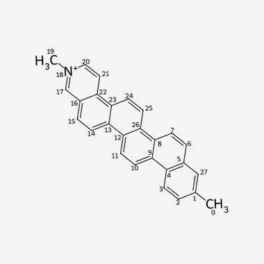 Cc1ccc2c(ccc3c2ccc2c4ccc5c[n+](C)ccc5c4ccc32)c1